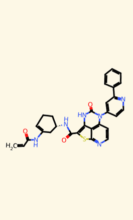 C=CC(=O)NC1=CCC[C@H](NC(=O)c2sc3nccc4c3c2NC(=O)N4c2ccnc(-c3ccccc3)c2)C1